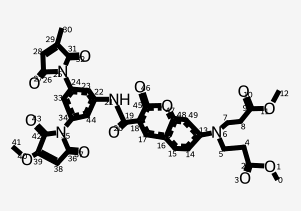 COC(=O)CCN(CCC(=O)OC)c1ccc2cc(C(=O)Nc3cc(N4C(=O)C=C(C)C4=O)cc(N4C(=O)C=C(OC)C4=O)c3)c(=O)oc2c1